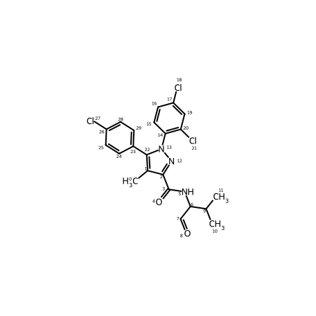 Cc1c(C(=O)NC(C=O)C(C)C)nn(-c2ccc(Cl)cc2Cl)c1-c1ccc(Cl)cc1